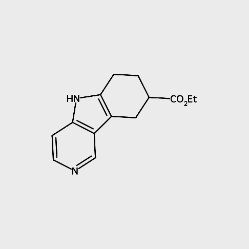 CCOC(=O)C1CCc2[nH]c3ccncc3c2C1